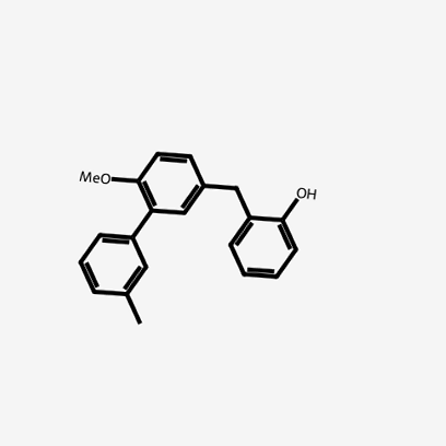 COc1ccc(Cc2ccccc2O)cc1-c1cccc(C)c1